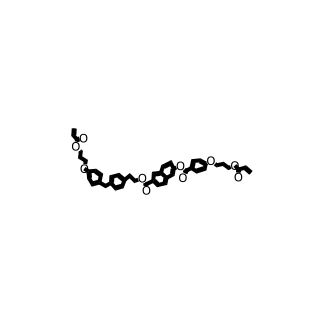 C=CC(=O)OCCCOc1ccc(Cc2ccc(CCOC(=O)c3ccc4cc(OC(=O)c5ccc(OCCCOC(=O)C=C)cc5)ccc4c3)cc2)cc1